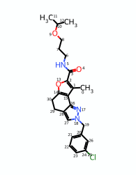 Cc1c(C(=O)NCCCOC(C)C)oc2c1-c1nn(Cc3cccc(Cl)c3)cc1CC2